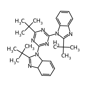 CC(C)(C)C1=NC2C=CC=CC2N1c1nc(-n2c(C(C)(C)C)nc3ccccc32)nc(C(C)(C)C)n1